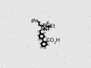 CCC(F)(F)c1nc(CCC(C)C)n(Cc2ccc(-c3ccccc3C(=O)O)cc2)n1